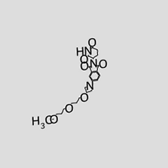 COCCCOCCCOC1CN(c2ccc3c(c2)C(=O)N(C2CCC(=O)NC2=O)C3=O)C1